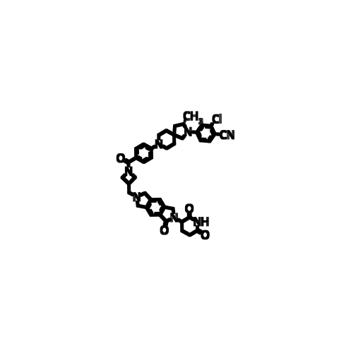 C[C@H]1CC2(CCN(c3ccc(C(=O)N4CC(CN5Cc6cc7c(cc6C5)C(=O)N(C5CCC(=O)NC5=O)C7)C4)cc3)CC2)CN1c1ccc(C#N)c(Cl)c1